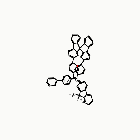 CC(c1ccc(-c2ccc3c(c2)C2(c4ccccc4-3)c3ccccc3-c3ccc(-c4ccc(N(c5ccc(-c6ccccc6)cc5)c5ccc6c(c5)C(C)(C)c5ccccc5-6)cc4)cc32)cc1)C(C)(C)C